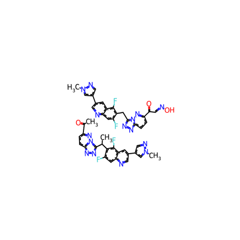 CC(=O)c1ccc2nnc(C(C)c3c(F)cc4ncc(-c5cnn(C)c5)cc4c3F)n2n1.Cn1cc(-c2cnc3cc(F)c(Cc4nnc5ccc(C(=O)/C=N/O)nn45)c(F)c3c2)cn1